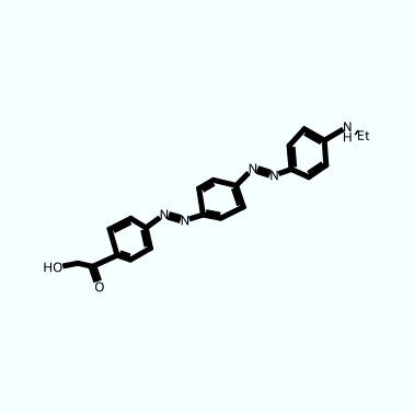 CCNc1ccc(N=Nc2ccc(N=Nc3ccc(C(=O)CO)cc3)cc2)cc1